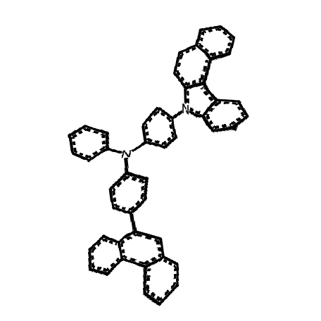 c1ccc(N(c2ccc(-c3cc4ccccc4c4ccccc34)cc2)c2ccc(-n3c4ccccc4c4c5ccccc5ccc43)cc2)cc1